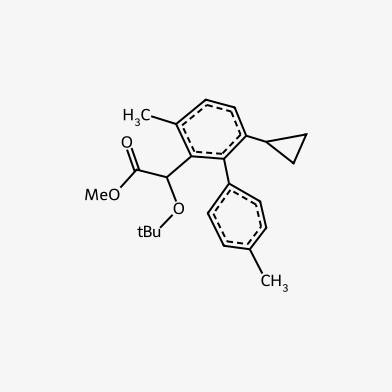 COC(=O)C(OC(C)(C)C)c1c(C)ccc(C2CC2)c1-c1ccc(C)cc1